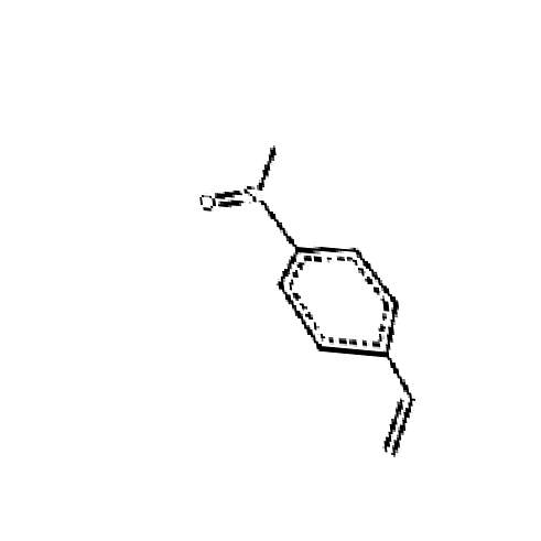 C=Cc1ccc([Si](C)=O)cc1